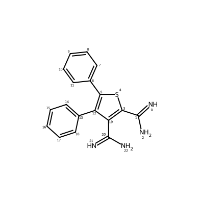 N=C(N)c1sc(-c2ccccc2)c(-c2ccccc2)c1C(=N)N